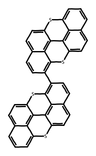 c1cc2ccc3sc4c(-c5ccc6ccc7sc8cccc9ccc%10sc5c6c7-c%10c98)ccc5ccc6sc(c1)c2c3-c6c54